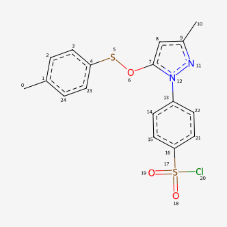 Cc1ccc(SOc2cc(C)nn2-c2ccc(S(=O)(=O)Cl)cc2)cc1